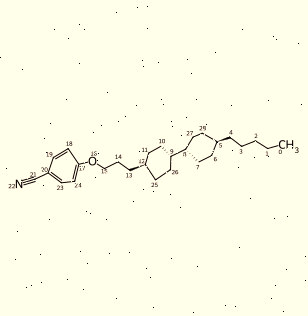 CCCCC[C@H]1CC[C@H]([C@H]2CC[C@H](CCCOc3ccc(C#N)cc3)CC2)CC1